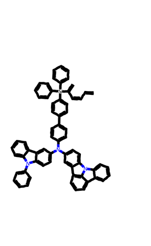 C=C/C=C\C(=C)[Si](c1ccccc1)(c1ccccc1)c1ccc(-c2ccc(N(c3ccc4c(c3)c3ccccc3n4-c3ccccc3)c3ccc4c(c3)c3cccc5c6ccccc6n4c53)cc2)cc1